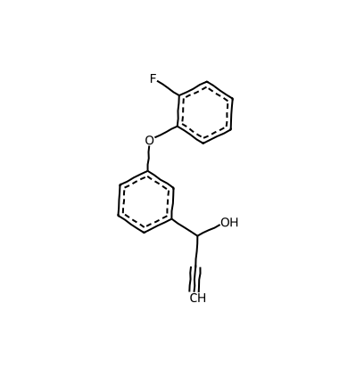 C#CC(O)c1cccc(Oc2ccccc2F)c1